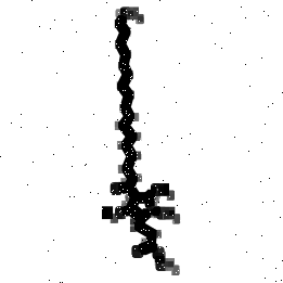 CCCCCCCCCCCCCCCCCC(=O)c1c(C)c(CCC(=O)OC)n(C)c1C